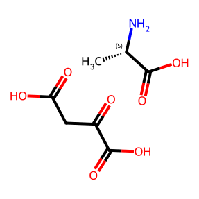 C[C@H](N)C(=O)O.O=C(O)CC(=O)C(=O)O